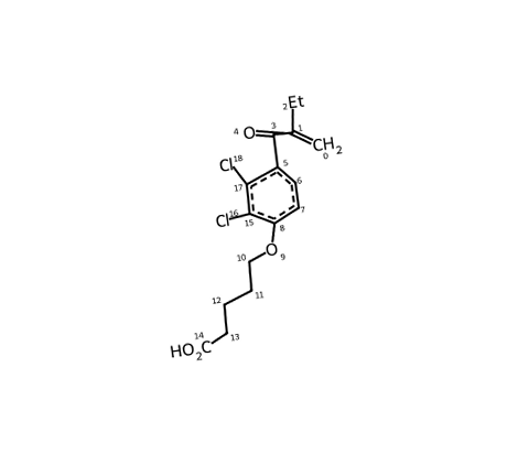 C=C(CC)C(=O)c1ccc(OCCCCC(=O)O)c(Cl)c1Cl